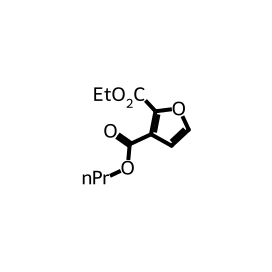 CCCOC(=O)c1ccoc1C(=O)OCC